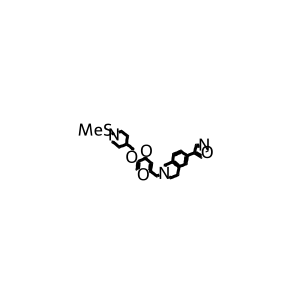 CSN1CCC(COc2coc(CN3CCc4cc(-c5cnoc5)ccc4C3)cc2=O)CC1